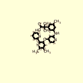 Cc1cc(Nc2cc(Oc3cc(C)c(C)nc3-c3ccccn3)ccn2)cc(C(C)(C)C(=O)O)c1